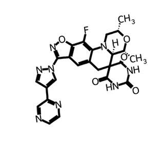 C[C@H]1CN2c3c(cc4c(-n5cc(-c6cnccn6)cn5)noc4c3F)CC3(C(=O)NC(=O)NC3=O)[C@@H]2[C@@H](C)O1